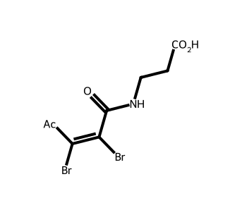 CC(=O)/C(Br)=C(/Br)C(=O)NCCC(=O)O